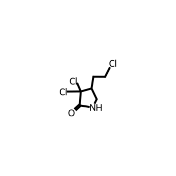 O=C1NCC(CCCl)C1(Cl)Cl